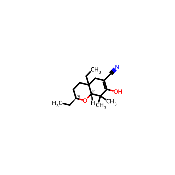 CC[C@H]1CCC2(CC)CC(C#N)=C(O)C(C)(C)[C@@H]2O1